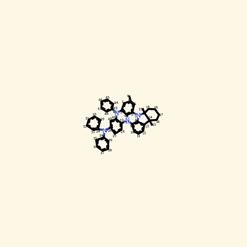 Cc1cc2c3c(c1)N1c4c(cccc4C4(C)CCCCC14C)N3c1ccc(N(c3ccccc3)c3ccccc3)cc1N2c1ccccc1